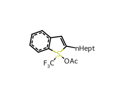 CCCCCCCC1=Cc2ccccc2S1(OC(C)=O)C(F)(F)F